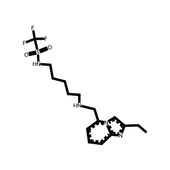 CCc1cn2c(CNCCCCCNS(=O)(=O)C(F)(F)F)cccc2n1